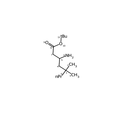 CCCC(C)(C)CC(N)CC(=O)OC(C)(C)C